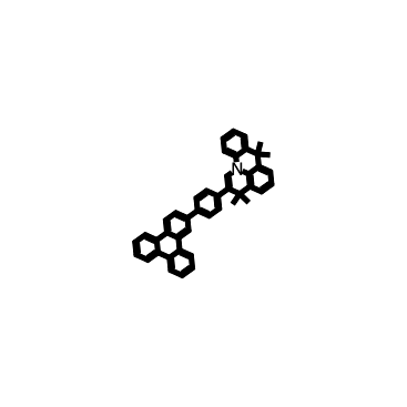 CC1(C)C(c2ccc(-c3ccc4c5ccccc5c5ccccc5c4c3)cc2)=CN2c3ccccc3C(C)(C)c3cccc1c32